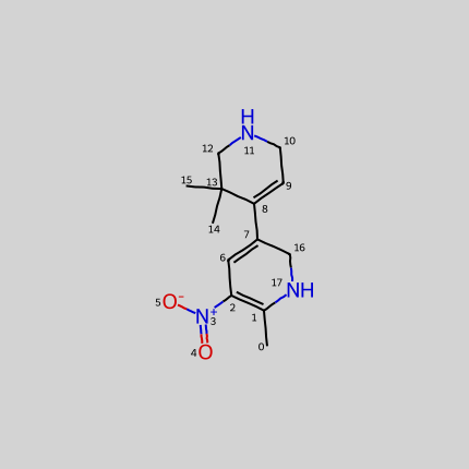 CC1=C([N+](=O)[O-])C=C(C2=CCNCC2(C)C)CN1